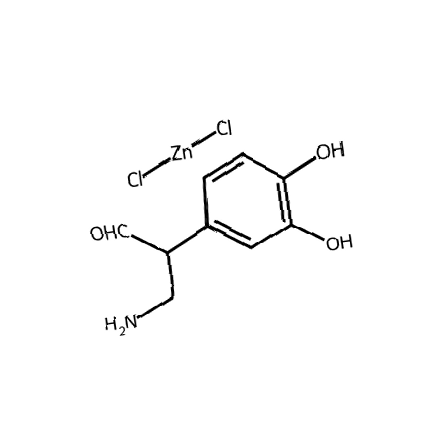 NCC(C=O)c1ccc(O)c(O)c1.[Cl][Zn][Cl]